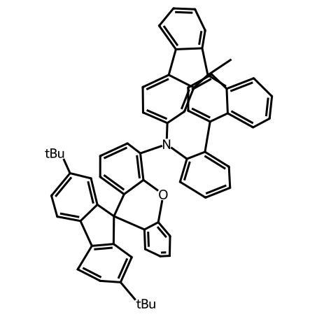 CC(C)(C)c1ccc2c(c1)C1(c3ccccc3Oc3c(N(c4ccc5c(c4)C(C)(C)c4ccccc4-5)c4ccccc4-c4cccc5ccccc45)cccc31)c1cc(C(C)(C)C)ccc1-2